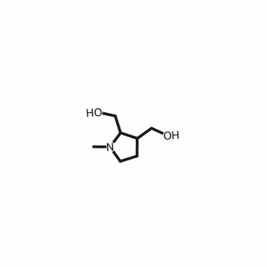 CN1CCC(CO)C1CO